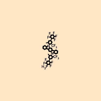 Cc1cc(-c2c(F)c(F)c(F)c(F)c2F)cc(C(F)(F)F)c1-n1c2ccccc2c2cc3c(cc21)c1ccccc1n3-c1c(C)cc(-c2c(F)c(F)c(P)c(F)c2F)cc1C(F)(F)F